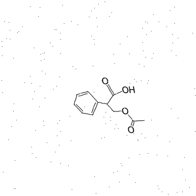 CC(=O)OCC(C(=O)O)c1ccccc1